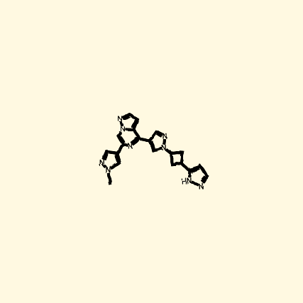 Cn1cc(-c2cn3nccc3c(-c3cnn(C4CC(c5ccn[nH]5)C4)c3)n2)cn1